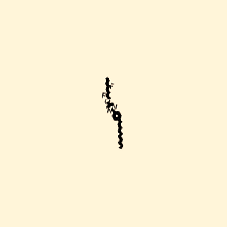 CCCCCCCCCCc1ccc(-c2ncc(OCC(F)CCC(F)CCC)cn2)cc1